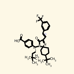 CC(C)(C)CC[C@H](c1ccc(C(=O)O)cc1)N1C(=O)C(/C=C/c2cccc(C(F)(F)F)c2)=NC12CCC(C(C)(C)C)CC2